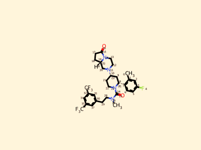 Cc1cc(F)ccc1[C@H]1C[C@@H](N2CCN3C(=O)CC[C@H]3C2)CCN1C(=O)N(C)CCc1cc(C(F)(F)F)cc(C(F)(F)F)c1